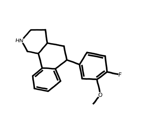 COc1cc(C2CC3CCNCC3c3ccccc32)ccc1F